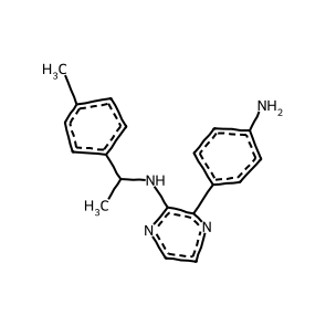 Cc1ccc(C(C)Nc2nccnc2-c2ccc(N)cc2)cc1